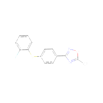 Fc1ccccc1Sc1ccc(-c2noc(C(F)(F)F)n2)cc1